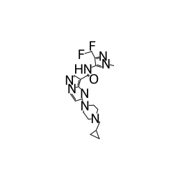 Cn1cc(NC(=O)c2cnn3ccc(N4CCN(CC5CC5)CC4)nc23)c(C(F)F)n1